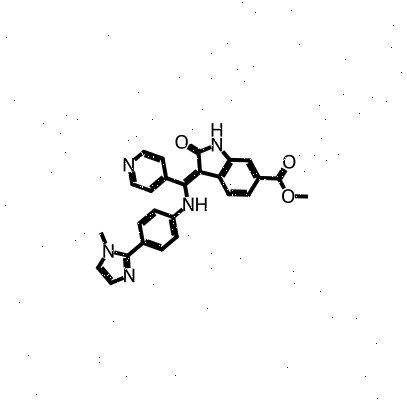 COC(=O)c1ccc2c(c1)NC(=O)C2=C(Nc1ccc(-c2nccn2C)cc1)c1ccncc1